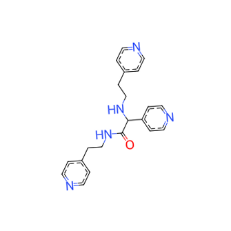 O=C(NCCc1ccncc1)C(NCCc1ccncc1)c1ccncc1